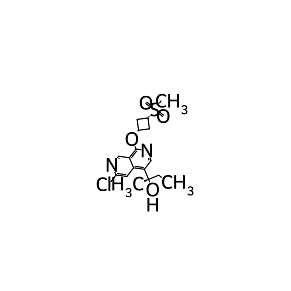 CC[C@](C)(O)c1cnc(O[C@H]2C[C@@H](S(C)(=O)=O)C2)c2cnc(Cl)cc12